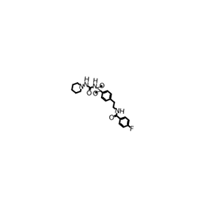 O=C(NN1CCCCC1)NS(=O)(=O)c1ccc(CCNC(=O)c2ccc(F)cc2)cc1